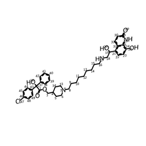 O=C(OCC1CCN(CCCCCCCCCNCC(O)c2ccc(O)c3[nH]c(=O)ccc23)CC1)C(O)(c1ccccc1)c1ccc(Cl)cc1